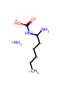 CCCCCC(N)NC(=O)O.N